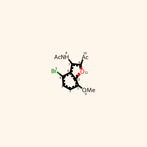 COc1ccc(Br)c2c(NC(C)=O)c(C(C)=O)oc12